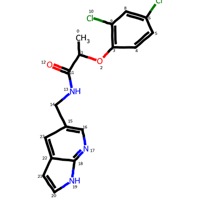 CC(Oc1ccc(Cl)cc1Cl)C(=O)NCc1cnc2[nH]ccc2c1